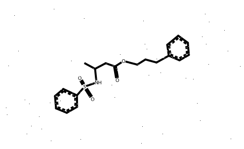 CC(CC(=O)OCCCc1ccccc1)NS(=O)(=O)c1ccccc1